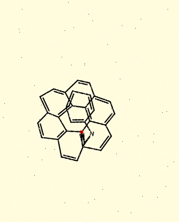 c1ccc(-n2c3ccc4ccc5ccc6ccc7ccc8ccc2c2c8c7c6c5c4c23)cc1